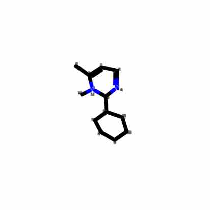 CC1=CC=NC(C2CCCCC2)N1C